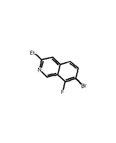 CCc1cc2ccc(Br)c(F)c2cn1